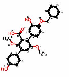 COc1cc(-c2ccc(O)cc2)c(OC)c(C(=O)O)c1-c1ccc(OCc2ccccc2)c(O)c1